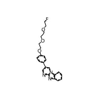 FCCOCCOCCOc1ccc(-c2cnc3nc4ccccc4n3c2)cc1